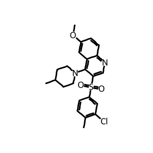 COc1ccc2ncc(S(=O)(=O)c3ccc(C)c(Cl)c3)c(N3CCC(C)CC3)c2c1